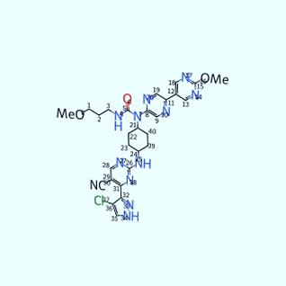 COCCCNC(=O)N(c1cnc(-c2cnc(OC)nc2)cn1)C1CCC(Nc2ncc(C#N)c(-c3n[nH]cc3Cl)n2)CC1